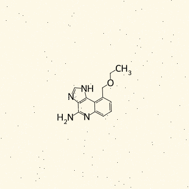 CCOCc1cccc2nc(N)c3nc[nH]c3c12